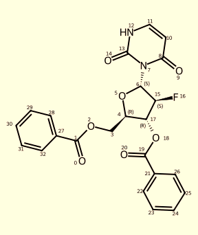 O=C(OC[C@H]1O[C@H](n2c(=O)cc[nH]c2=O)[C@@H](F)[C@@H]1OC(=O)c1ccccc1)c1ccccc1